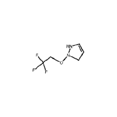 FC(F)(F)CON1CC=CN1